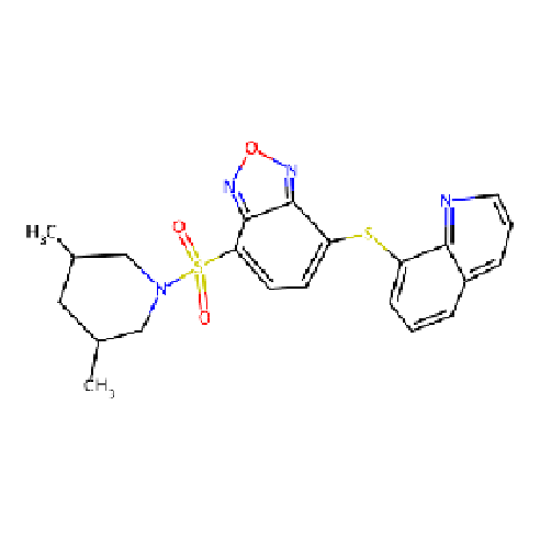 CC1CC(C)CN(S(=O)(=O)c2ccc(Sc3cccc4cccnc34)c3nonc23)C1